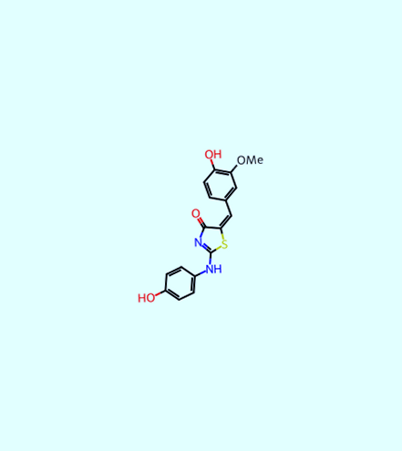 COc1cc(C=C2SC(Nc3ccc(O)cc3)=NC2=O)ccc1O